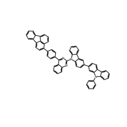 c1ccc(-n2c3ccccc3c3ccc(-c4ccc5c(c4)c4ccccc4n5-c4nc(-c5ccc(-c6ccc7c8c(cccc68)-c6ccccc6-7)cc5)c5ccccc5n4)cc32)cc1